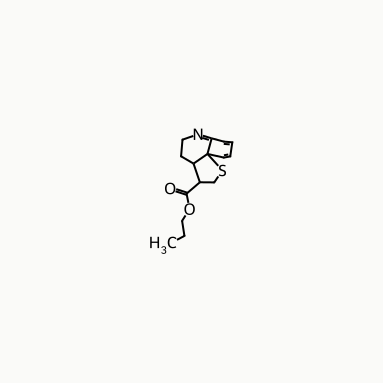 CCCOC(=O)C1CSC23C=CC=CC2=NCCC13